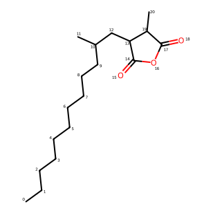 CCCCCCCCCCC(C)CC1C(=O)OC(=O)C1C